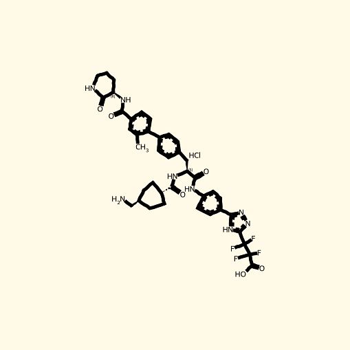 Cc1cc(C(=O)N[C@@H]2CCCNC2=O)ccc1-c1ccc(C[C@H](NC(=O)[C@H]2CC[C@H](CN)CC2)C(=O)Nc2ccc(-c3nnc(C(F)(F)C(F)(F)C(=O)O)[nH]3)cc2)cc1.Cl